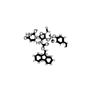 CCc1ccc(OP(C)(=O)O[C@H]2[C@@H](NC(=O)OCC3c4ccccc4-c4ccccc43)[C@H](n3ccc(=O)[nH]c3=O)O[C@@H]2CC)cc1